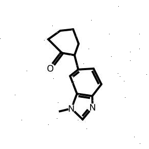 Cn1cnc2ccc(C3CCCCC3=O)cc21